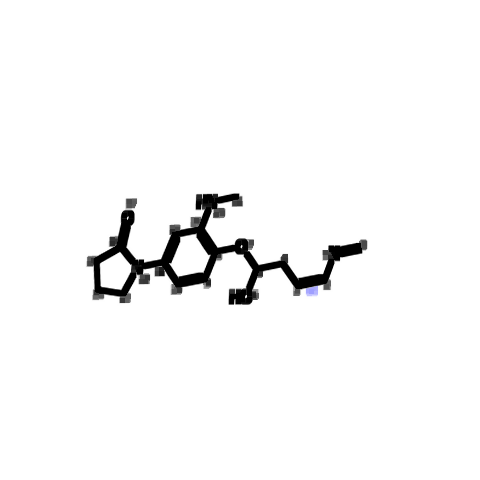 C=N/C=C\CC(O)Oc1ccc(N2CCCC2=O)cc1NC